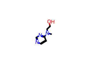 CN(CCO)c1ccncn1